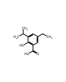 CCc1cc(C(=O)O)c(O)c(C(C)C)c1